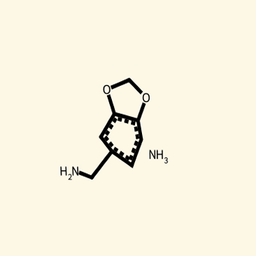 N.NCc1ccc2c(c1)OCO2